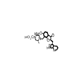 COc1ccc2c(c1CN1CCN(C(=O)O)C[C@@H]1C)O/C(=C\c1n[nH]c3ncccc13)C2=O